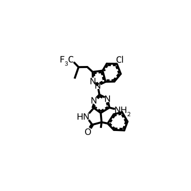 CC(Cc1nn(-c2nc(N)c3c(n2)NC(=O)C3(C)c2ccccc2)c2ccc(Cl)cc12)C(F)(F)F